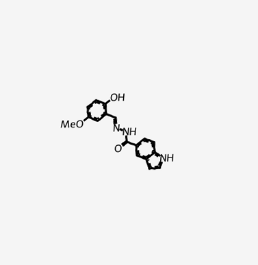 COc1ccc(O)c(/C=N/NC(=O)c2ccc3[nH]ccc3c2)c1